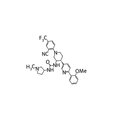 COc1ccccc1-c1ccc([C@@H]2CCN(c3ccc(C(F)(F)F)cc3C#N)CC2NC(=O)NC2CCN(C)C2)cn1